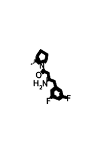 C[C@@H]1C2CCC(C2)N1C(=O)C[C@H](N)Cc1cc(F)cc(F)c1